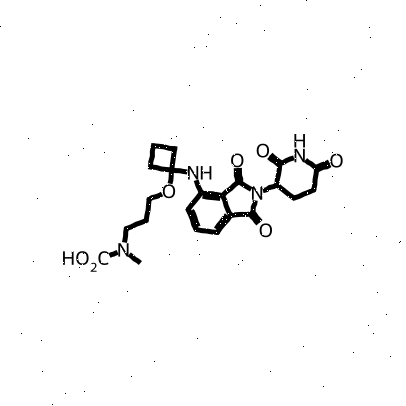 CN(CCCOC1(Nc2cccc3c2C(=O)N(C2CCC(=O)NC2=O)C3=O)CCC1)C(=O)O